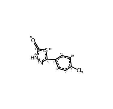 O=c1[nH]nc(-c2ccc(Cl)cc2)s1